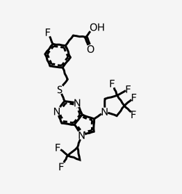 O=C(O)Cc1cc(CSc2ncc3c(n2)c(N2CC(F)(F)C(F)(F)C2)cn3C2CC2(F)F)ccc1F